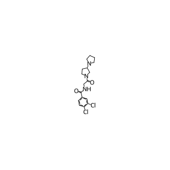 O=C(NCC(=O)N1CCC(N2CCCC2)C1)c1ccc(Cl)c(Cl)c1